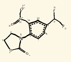 O=C1OCCN1c1ccc(C(F)F)cc1[N+](=O)[O-]